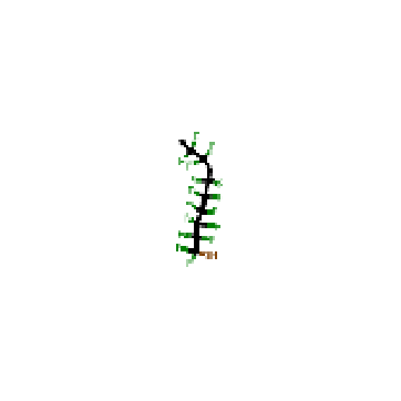 CC(F)(F)C(F)(F)CC(F)(F)C(F)(F)C(F)(F)C(F)(F)C(F)(F)C(F)(F)S